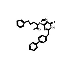 CC(=O)C(CCCc1ccccc1)n1cnc2c(=O)[nH]c(Cc3ccc(-c4ccccc4)cc3)nc21